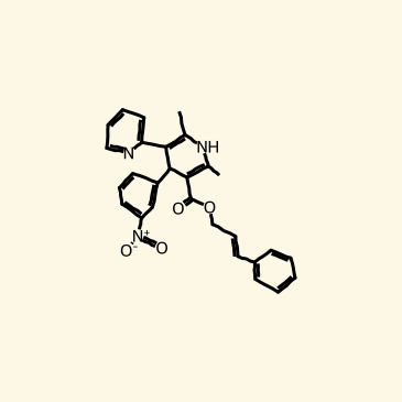 CC1=C(C(=O)OCC=Cc2ccccc2)C(c2cccc([N+](=O)[O-])c2)C(c2ccccn2)=C(C)N1